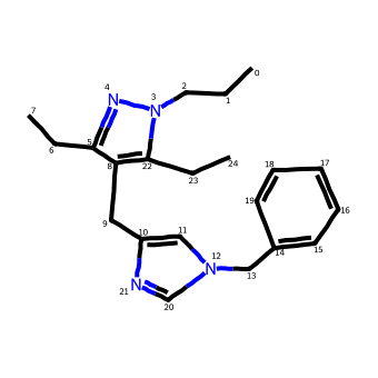 CCCn1nc(CC)c(Cc2cn(Cc3ccccc3)cn2)c1CC